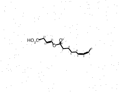 CC=C=CCCCCC(=O)OC=CCC(=O)O